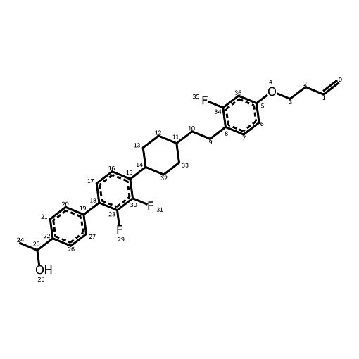 C=CCCOc1ccc(CCC2CCC(c3ccc(-c4ccc(C(C)O)cc4)c(F)c3F)CC2)c(F)c1